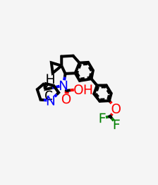 O=C(O)N(C1c2cc(-c3ccc(OC(F)F)cc3)ccc2CCC12CC2)[C@@H]1CN2CCC1CC2